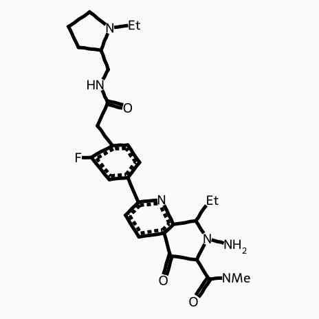 CCC1c2nc(-c3ccc(CC(=O)NCC4CCCN4CC)c(F)c3)ccc2C(=O)C(C(=O)NC)N1N